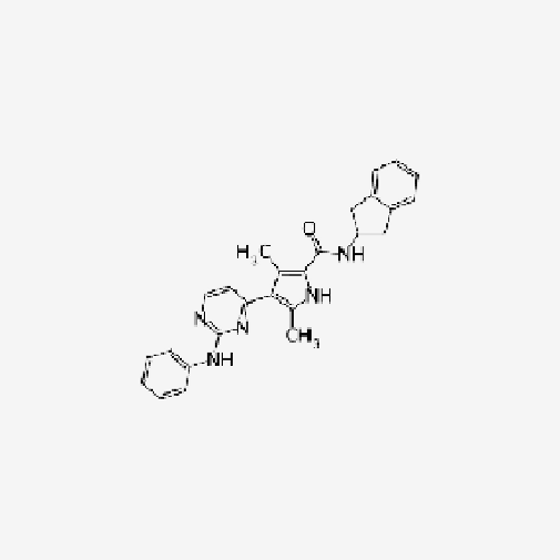 Cc1[nH]c(C(=O)NC2Cc3ccccc3C2)c(C)c1-c1ccnc(Nc2ccccc2)n1